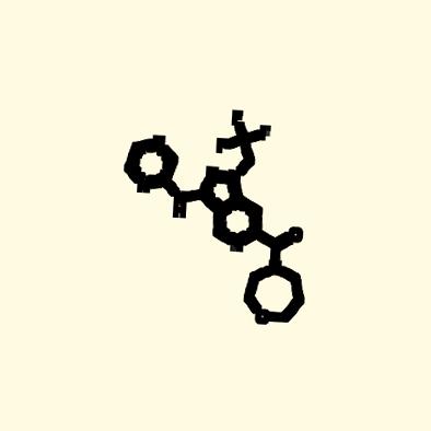 O=C(c1cc2c(cn1)c(Nc1cnccn1)nn2CC(F)(F)F)N1CCCOCC1